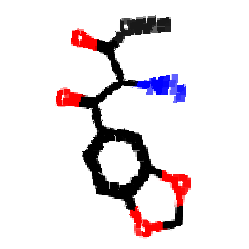 COC(=O)C(N)C(=O)c1ccc2c(c1)OCO2